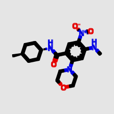 CNc1cc(N2CCOCC2)c(C(=O)N[C@H]2CC[C@H](C)CC2)cc1[N+](=O)[O-]